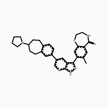 Cc1cc2c(cc1-c1n[nH]c3ncc(-c4ccc5c(c4)CCC(N4CCCC4)CC5)cc13)OCCNC2=O